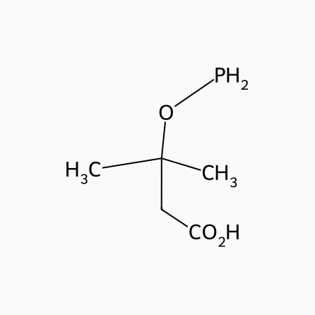 CC(C)(CC(=O)O)OP